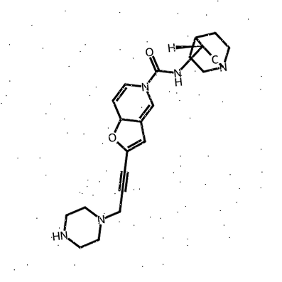 O=C(N[C@H]1CN2CCC1CC2)N1C=CC2OC(C#CCN3CCNCC3)=CC2=C1